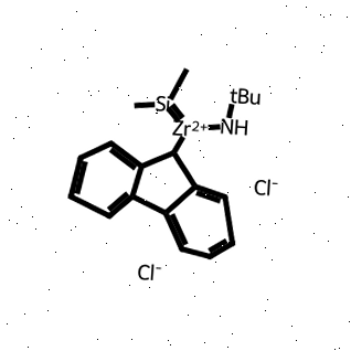 C[Si](C)=[Zr+2]([NH]C(C)(C)C)[CH]1c2ccccc2-c2ccccc21.[Cl-].[Cl-]